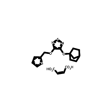 O=C(O)/C=C\C(=O)O.c1csc(COc2nsnc2OC23CCC(CC2)C3)c1